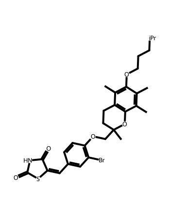 Cc1c(C)c2c(c(C)c1OCCCC(C)C)CCC(C)(COc1ccc(/C=C3/SC(=O)NC3=O)cc1Br)O2